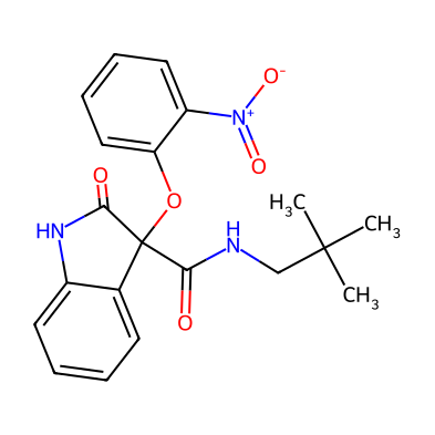 CC(C)(C)CNC(=O)C1(Oc2ccccc2[N+](=O)[O-])C(=O)Nc2ccccc21